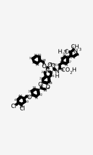 Cc1nccc(-c2ccc(C[C@H](NC(=O)[C@@H]3Cc4cc5c(cc4CN3C(=O)OCc3ccccc3)O[C@@H](c3ccc(OCc4ccc(Cl)c(Cl)c4)cc3)CO5)C(=O)O)cc2)c1C